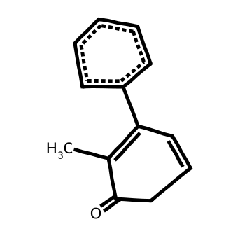 CC1=C(c2ccccc2)C=CCC1=O